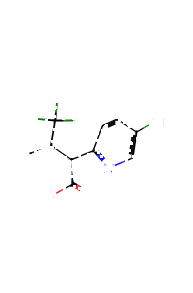 C[C@H]([C@H](C(=O)O)c1ccc(Cl)cn1)C(F)(F)F